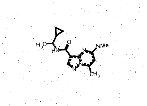 CNc1cc(C)n2ncc(C(=O)N[C@@H](C)C3CC3)c2n1